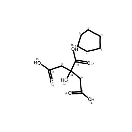 C1CCCCC1.O=C(O)CC(O)(CC(=O)O)C(=O)O